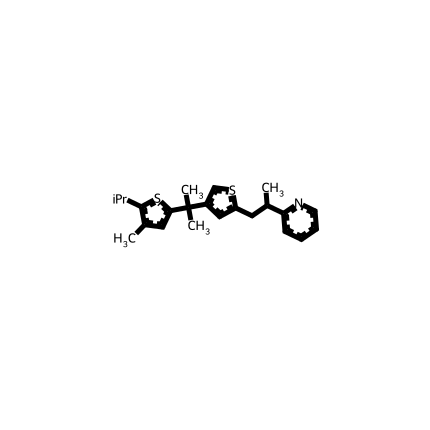 Cc1cc(C(C)(C)c2csc(CC(C)c3ccccn3)c2)sc1C(C)C